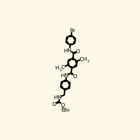 Cc1cc(C(=O)Nc2ccc(CNC(=O)OC(C)(C)C)cc2)c(C)cc1C(=O)Nc1ccc(Br)cc1